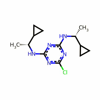 C[C@@H](Nc1nc(Cl)nc(N[C@H](C)C2CC2)n1)C1CC1